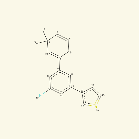 CC1(C)C=CCC(c2cc(F)cc(-c3ccsc3)c2)=C1